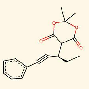 CC[C@@H](C#Cc1ccccc1)C1C(=O)OC(C)(C)OC1=O